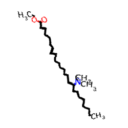 CCCCCCCCC(CCCCCCCCC=CCCCCCC(=O)OCC)N(C)C